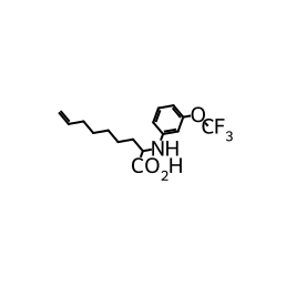 C=CCCCCCC(Nc1cccc(OC(F)(F)F)c1)C(=O)O